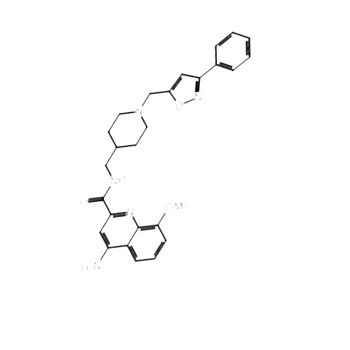 COc1cccc2c(N)cc(C(=O)NCC3CCN(Cc4cc(-c5ccccc5)no4)CC3)nc12